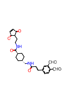 O=Cc1ccc(CCC(=O)NC[C@H]2CC[C@H](C(=O)NCCC3C(=O)C=CC3=O)CC2)cc1C=O